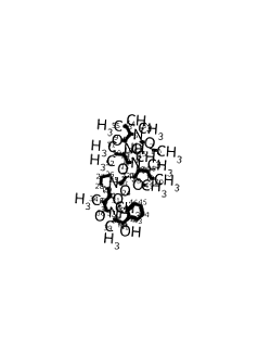 CCOC(=O)N(C)C(C(=O)N[C@H](C(=O)N(C)[C@@H]([C@@H](C)CC)[C@@H](CC(=O)N1CCC[C@H]1[C@H](OC)[C@@H](C)C(=O)N[C@H](C)[C@@H](O)c1ccccc1)OC)C(C)C)C(C)C